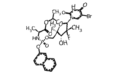 CC(C)OC(=O)[C@H](C)N[P@@](=O)(OC[C@@]1(F)O[C@@H](n2cc(Br)c(=O)[nH]c2=O)[C@](C)(F)[C@@H]1O)Oc1ccc2ccccc2c1